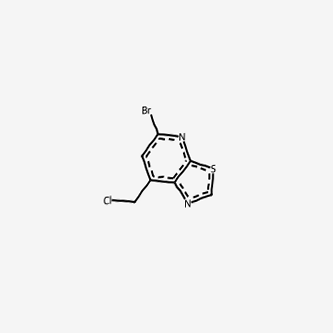 ClCc1cc(Br)nc2scnc12